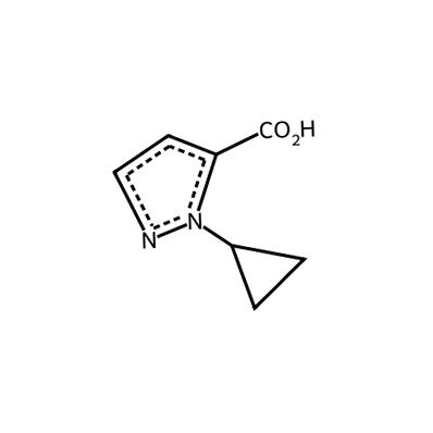 O=C(O)c1ccnn1C1CC1